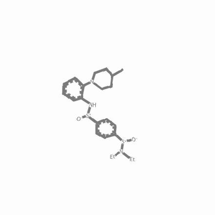 CCN(CC)[S+]([O-])c1ccc([S+]([O-])Nc2ccccc2N2CCC(C)CC2)cc1